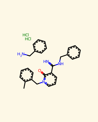 Cc1ccccc1Cn1cccc(C(=N)NCc2ccccc2)c1=O.Cl.Cl.NCc1ccccc1